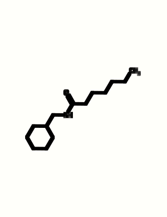 CCCCCCC(=O)NCC1CCCCC1